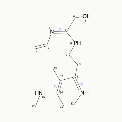 C=C/N=C(/CO)PCCC(=N/C)/C(C)=C(\C)NC